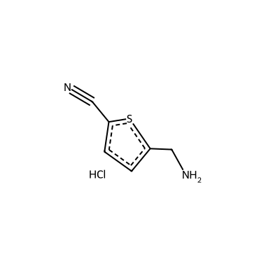 Cl.N#Cc1ccc(CN)s1